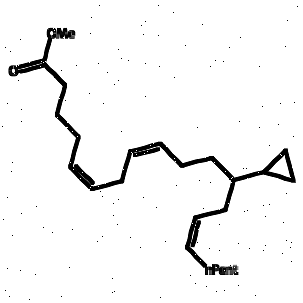 CCCCC/C=C\CC(CC/C=C\C/C=C\CCCC(=O)OC)C1CC1